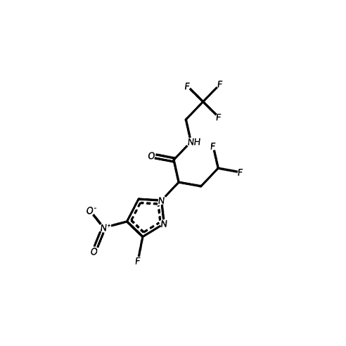 O=C(NCC(F)(F)F)C(CC(F)F)n1cc([N+](=O)[O-])c(F)n1